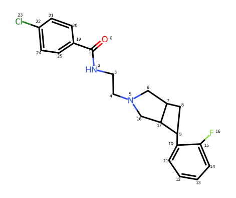 O=C(NCCN1CC2CC(c3ccccc3F)C2C1)c1ccc(Cl)cc1